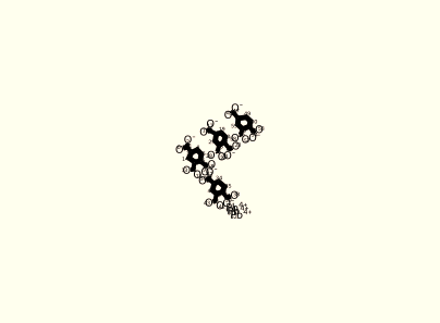 O=C([O-])c1ccc(C(=O)[O-])c(C(=O)[O-])c1.O=C([O-])c1ccc(C(=O)[O-])c(C(=O)[O-])c1.O=C([O-])c1ccc(C(=O)[O-])c(C(=O)[O-])c1.O=C([O-])c1ccc(C(=O)[O-])c(C(=O)[O-])c1.[Pb+4].[Pb+4].[Pb+4]